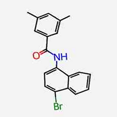 Cc1cc(C)cc(C(=O)Nc2ccc(Br)c3ccccc23)c1